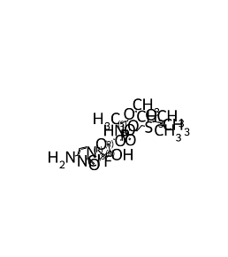 CC(C)OC(=O)[C@H](C)N[P@@](=O)(OCCSC(=O)C(C)(C)C)OC[C@H]1O[C@@H](n2ccc(N)nc2=O)[C@@](F)(Cl)[C@@H]1O